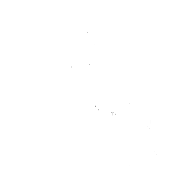 Cc1nc[nH]c1CN1c2ccccc2CC(C(=O)OC(C)(C)C)CN1CCc1ccccc1